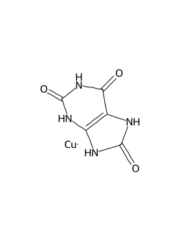 O=c1[nH]c(=O)c2[nH]c(=O)[nH]c2[nH]1.[Cu]